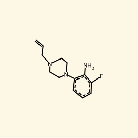 C=CCN1CCN(c2cccc(F)c2N)CC1